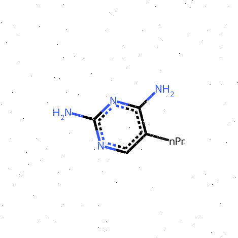 CCCc1cnc(N)nc1N